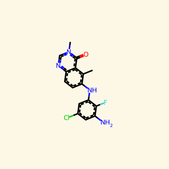 Cc1c(Nc2cc(Cl)cc(N)c2F)ccc2ncn(C)c(=O)c12